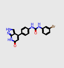 O=C(Nc1ccc(-c2cc(=O)[nH]c3n[nH]cc23)cc1)Nc1cccc(Br)c1